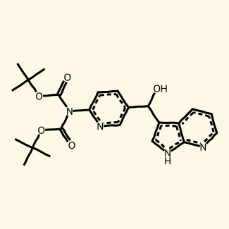 CC(C)(C)OC(=O)N(C(=O)OC(C)(C)C)c1ccc(C(O)c2c[nH]c3ncccc23)cn1